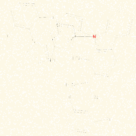 CC(C)c1cccc(C(C)C)c1N=C(N)c1ccc2c3ccccc3n(-c3cccc(-c4nccn4-c4c(C(C)C)cccc4C(C)C)c3)c2c1Nc1c(C(C)C)cccc1C(C)C